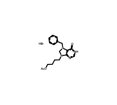 Br.CC(=O)OCCCCN1CN(Cc2ccccc2)c2c1nc[nH]c2=O